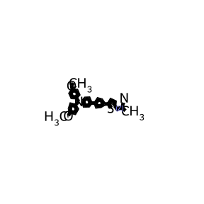 COc1ccc(N(c2ccc(OC)cc2)c2ccc(-c3ccc(-c4ccc(/C=C(/C)C#N)s4)cc3)cc2)cc1